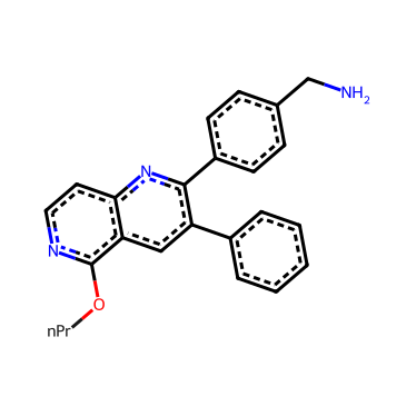 CCCOc1nccc2nc(-c3ccc(CN)cc3)c(-c3ccccc3)cc12